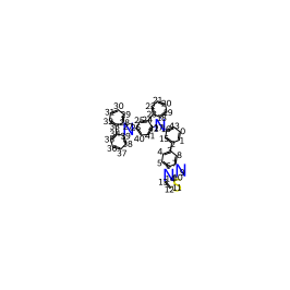 c1cc(-c2ccc3c(c2)nc2sccn23)cc(-n2c3ccccc3c3cc(-n4c5ccccc5c5ccccc54)ccc32)c1